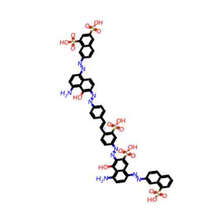 Nc1ccc(N=Nc2ccc3cc(S(=O)(=O)O)cc(S(=O)(=O)O)c3c2)c2ccc(N=Nc3ccc(/C=C/c4ccc(N=Nc5c(S(=O)(=O)O)cc6c(N=Nc7ccc8cccc(S(=O)(=O)O)c8c7)ccc(N)c6c5O)cc4S(=O)(=O)O)cc3)c(O)c12